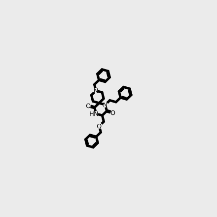 O=C1C(COCc2ccccc2)NC(=O)C2(CCN(Cc3ccccc3)CC2)N1CCc1ccccc1